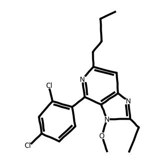 CCCCc1cc2nc(CC)n(OC)c2c(-c2ccc(Cl)cc2Cl)n1